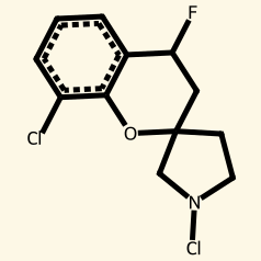 FC1CC2(CCN(Cl)C2)Oc2c(Cl)cccc21